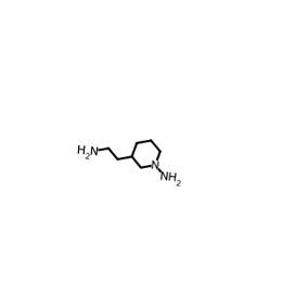 NCCC1CCCN(N)C1